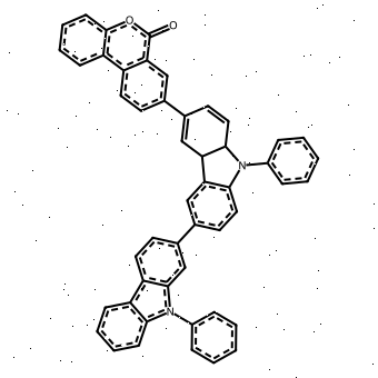 O=c1oc2ccccc2c2ccc(C3=CC4c5cc(-c6ccc7c8ccccc8n(-c8ccccc8)c7c6)ccc5N(c5ccccc5)C4C=C3)cc12